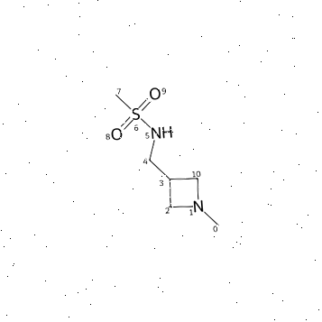 CN1CC(CNS(C)(=O)=O)C1